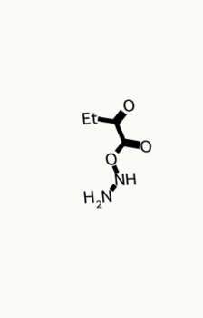 CCC(=O)C(=O)ONN